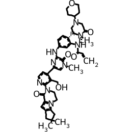 C=CC(=O)Nc1cc(Nc2nc(-c3ccnc(N4CCn5c(cc6c5CC(C)(C)C6)C4=O)c3CO)cn(C)c2=O)ccc1[C@@H]1CN(C2CCOCC2)CC(=O)N1C